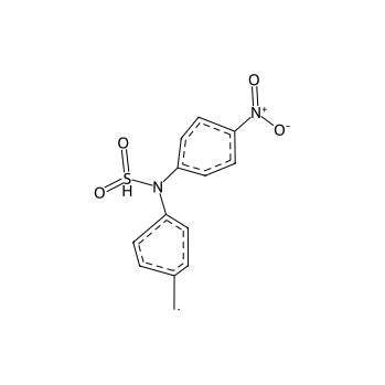 [CH2]c1ccc(N(c2ccc([N+](=O)[O-])cc2)[SH](=O)=O)cc1